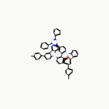 Cc1ccc(-c2ccc3c(c2)c2ccccc2n3-c2ccc(-c3nc(-c4ccccc4)nc(-c4ccccc4)n3)cc2-c2c(-n3c4ccccc4c4cc(-c5ccc(C)cc5)ccc43)cccc2C(F)(F)F)cc1